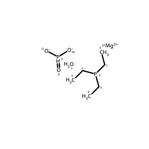 CCP(CC)CC.O.O=[PH]([O-])[O-].[Mg+2]